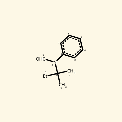 CCC(C)(C)N(C=O)c1ccccc1